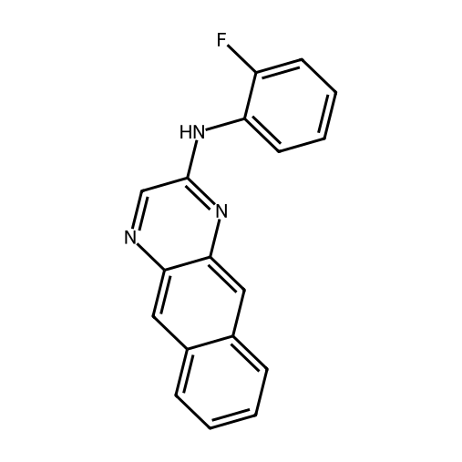 Fc1ccccc1Nc1cnc2cc3ccccc3cc2n1